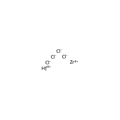 [Cl-].[Cl-].[Cl-].[Cl-].[Hf+4].[Zr+4]